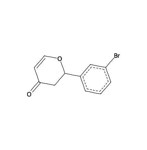 O=C1C=COC(c2cccc(Br)c2)C1